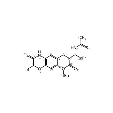 CCCC(NC(=S)C(F)(F)F)N(Cc1ccc2c(c1)NC(=S)C(C)O2)C(=O)OC(C)(C)C